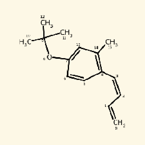 C=C/C=C\c1ccc(OC(C)(C)C)cc1C